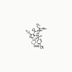 COC1CCC(c2nn(C)c(C(=O)N[C@@H](C)C(C)(C)C)c2NS(=O)(=O)c2ccc(C#N)cc2)CC1